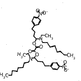 CCCCCCCCN(CC)C(CCCc1ccc([N+](=O)[O-])cc1)OC(=O)C(=O)OC(CCCc1ccc([N+](=O)[O-])cc1)N(CC)CCCCCCCC